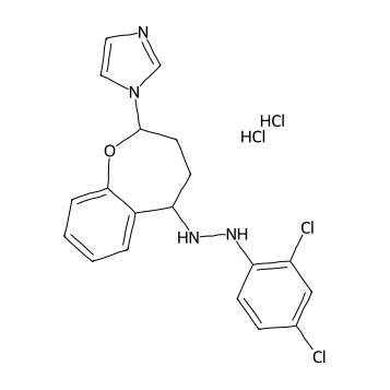 Cl.Cl.Clc1ccc(NNC2CCC(n3ccnc3)Oc3ccccc32)c(Cl)c1